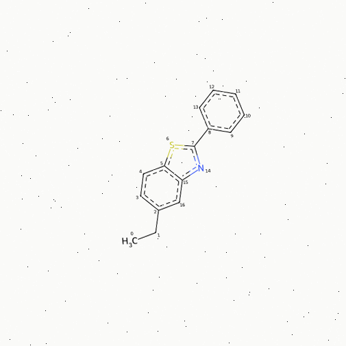 CCc1ccc2sc(-c3ccccc3)nc2c1